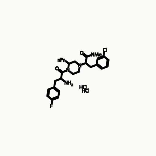 CCCC1CN(C(Cc2cccc(Cl)c2)C(=O)NC)CCN1C(=O)C(N)Cc1ccc(F)cc1.Cl.Cl